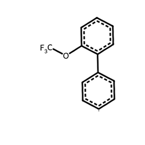 FC(F)(F)Oc1ccccc1-c1cc[c]cc1